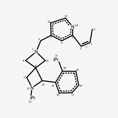 C/C=C\c1cc(CN2CC3(C2)CN(C(C)C)C3c2ccccc2C(C)C)ccn1